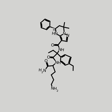 CCc1ccc(C(CC)(NC(=O)c2cnn3c2N[C@@H](c2ccccc2)CC3(C)C)C(=O)NC(CCCCN)C(N)=O)cc1